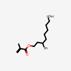 C=C(C)C(=O)OCCC(CCCCCCCCCCCCCCC)C(C)C